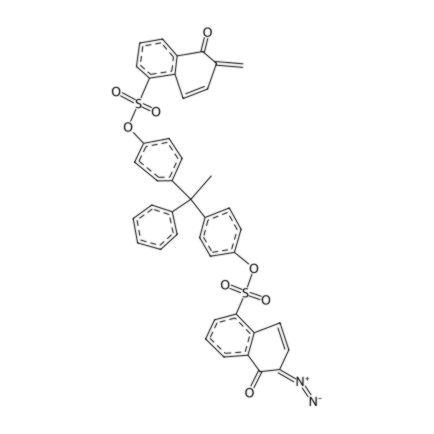 C=C1C=Cc2c(cccc2S(=O)(=O)Oc2ccc(C(C)(c3ccccc3)c3ccc(OS(=O)(=O)c4cccc5c4C=CC(=[N+]=[N-])C5=O)cc3)cc2)C1=O